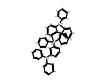 c1ccc(N(c2ccccc2)c2cccc([Si](c3ccccc3)(c3ccccc3)c3cccc4c3c3ccccc3n4-c3ccccc3)c2)cc1